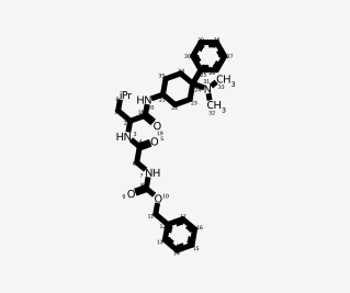 CC(C)CC(NC(=O)CNC(=O)OCc1ccccc1)C(=O)NC1CCC(c2ccccc2)(N(C)C)CC1